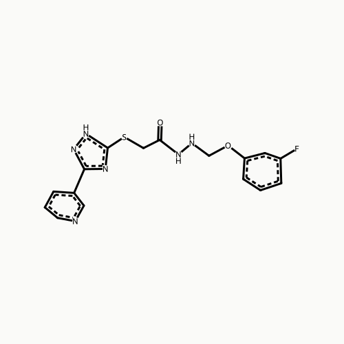 O=C(CSc1nc(-c2cccnc2)n[nH]1)NNCOc1cccc(F)c1